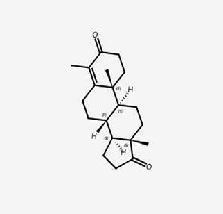 CC1=C2CC[C@@H]3[C@H](CC[C@]4(C)C(=O)CC[C@@H]34)[C@@]2(C)CCC1=O